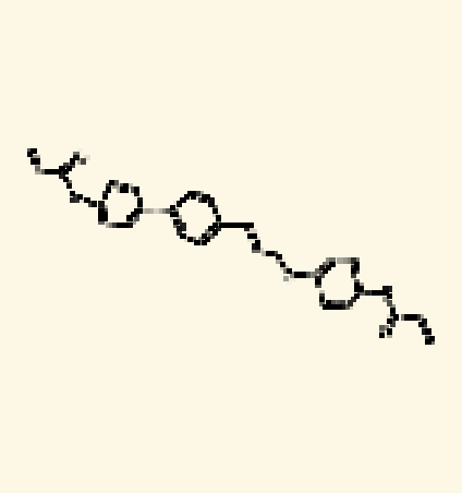 C=CC(=O)Sc1ccc(OC/C=C/c2ccc(-c3ccc(SC(=O)C=C)cc3)cc2)cc1